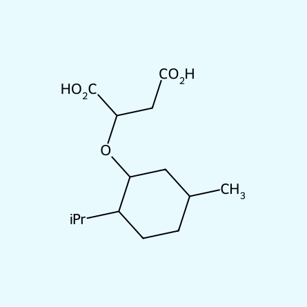 CC1CCC(C(C)C)C(OC(CC(=O)O)C(=O)O)C1